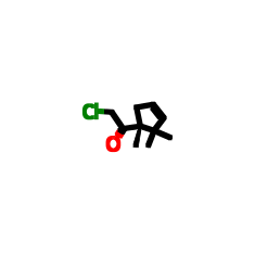 CC1(C)C=CC[C@@]1(C)C(=O)CCl